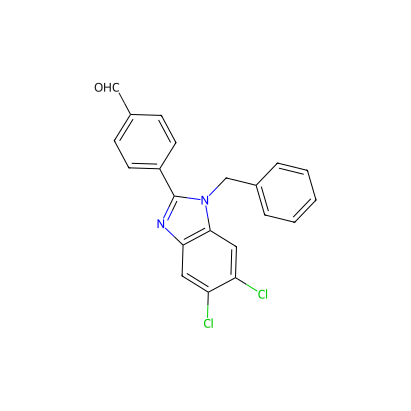 O=Cc1ccc(-c2nc3cc(Cl)c(Cl)cc3n2Cc2ccccc2)cc1